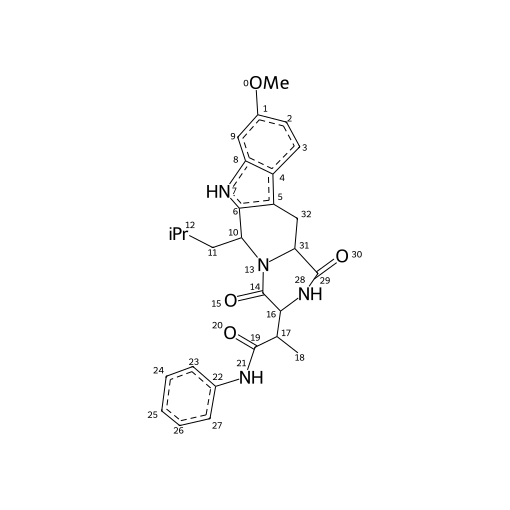 COc1ccc2c3c([nH]c2c1)C(CC(C)C)N1C(=O)C(C(C)C(=O)Nc2ccccc2)NC(=O)C1C3